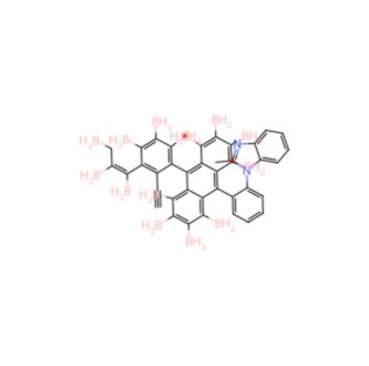 BC/C(B)=C(/B)c1c(B)c(B)c(B)c(-c2c3c(B)c(B)c(B)c(B)c3c(-c3ccccc3-n3c(C)nc4ccccc43)c3c(B)c(B)c(B)c(B)c23)c1C#C